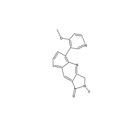 COc1ccncc1-c1cccc2cc3c(nc12)CN(F)C3=O